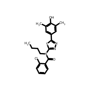 CCCCN(C(=O)c1ccccc1Cl)c1nnc(-c2cc(C)c(O)c(C)c2)s1